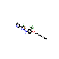 CCCCC=CCCOc1ccc(Nc2nc(-c3cccnc3)c(F)s2)cc1C(F)(F)F